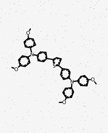 COc1ccc(N(c2ccc(OC)cc2)c2ccc(-c3ccc(-c4ccc(N(c5ccc(OC)cc5)c5ccc(OC)cc5)cc4)s3)cc2)cc1